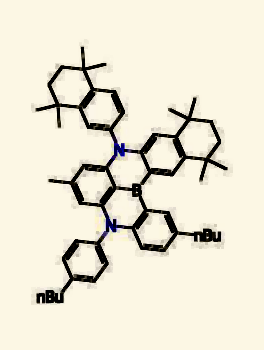 CCCCc1ccc(N2c3ccc(CCCC)cc3B3c4cc5c(cc4N(c4ccc6c(c4)C(C)(C)CCC6(C)C)c4cc(C)cc2c43)C(C)(C)CCC5(C)C)cc1